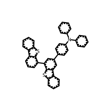 c1ccc(N(c2ccccc2)c2ccc(-c3cc(-c4cccc5c4sc4ccccc45)c4sc5ccccc5c4c3)cc2)cc1